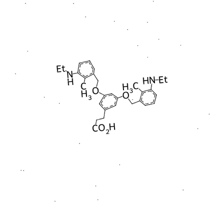 CCNc1cccc(COc2cc(CCC(=O)O)cc(OCc3cccc(NCC)c3C)c2)c1C